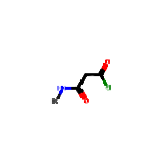 CCNC(=O)CC(=O)Cl